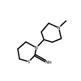 CN1CCC(N2CCCSC2=N)CC1